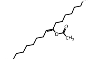 CCCCCCCC/C=C(/CCCCCCO)OC(C)=O